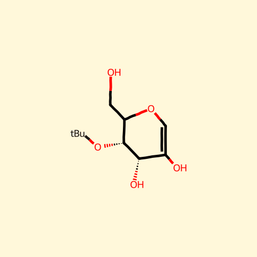 CC(C)(C)O[C@@H]1C(CO)OC=C(O)[C@@H]1O